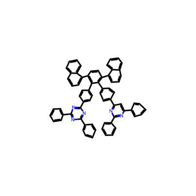 c1ccc(-c2cc(-c3ccc(-c4c(-c5cccc6ccccc56)ccc(-c5cccc6ccccc56)c4-c4ccc(-c5nc(-c6ccccc6)nc(-c6ccccc6)n5)cc4)cc3)nc(-c3ccccc3)n2)cc1